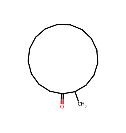 CC1CCCCCCCCCCCCCCCC1=O